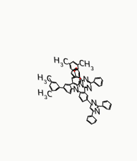 Cc1cc(C)cc(-c2ccc3c(c2)c2cc(-c4cc(C)cc(C)c4)ccc2n3-c2ccc(-c3cc(-c4ccccc4)nc(-c4ccccc4)n3)cc2-c2nc(-c3ccccc3)nc(-c3ccccc3)n2)c1